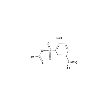 O=C(O)OS(=O)(=O)c1cccc(C(=O)O)c1.[NaH]